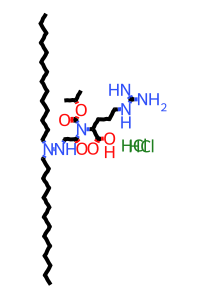 CCCCCCCCCCCCCCN(CCCCCCCCCCCCCC)NCC(=O)N(C(=O)OC(C)C)C(CCCNC(=N)N)C(=O)O.Cl.Cl